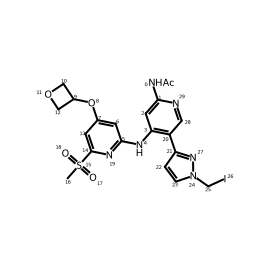 CC(=O)Nc1cc(Nc2cc(OC3COC3)cc(S(C)(=O)=O)n2)c(-c2ccn(CI)n2)cn1